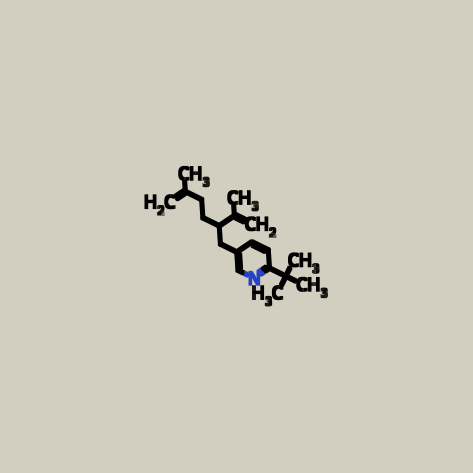 C=C(C)CCC(Cc1ccc(C(C)(C)C)nc1)C(=C)C